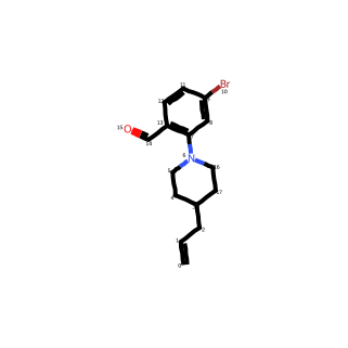 C=CCC1CCN(c2cc(Br)ccc2C=O)CC1